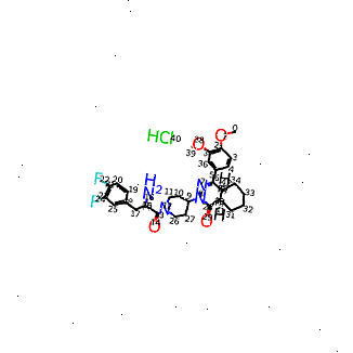 COc1ccc(C2=NN(C3CCN(C(=O)[C@H](N)Cc4ccc(F)c(F)c4)CC3)C(=O)[C@@H]3CCCC[C@H]23)cc1OC.Cl